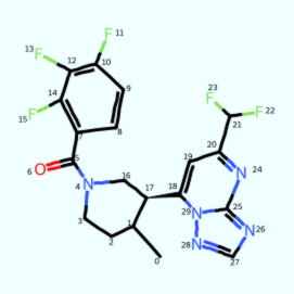 CC1CCN(C(=O)c2ccc(F)c(F)c2F)C[C@H]1c1cc(C(F)F)nc2ncnn12